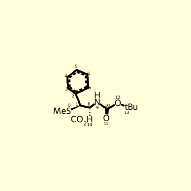 CS[C@@H](c1ccccc1)[C@H](NC(=O)OC(C)(C)C)C(=O)O